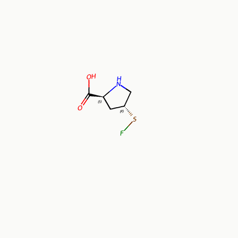 O=C(O)[C@@H]1C[C@@H](SF)CN1